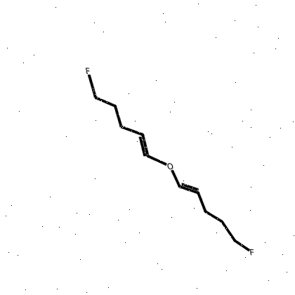 FCCCC=COC=CCCCF